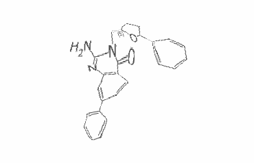 Nc1nc2cc(-c3ccccc3)ccc2c(=O)n1C[C@@H]1CCC(c2ccccc2)O1